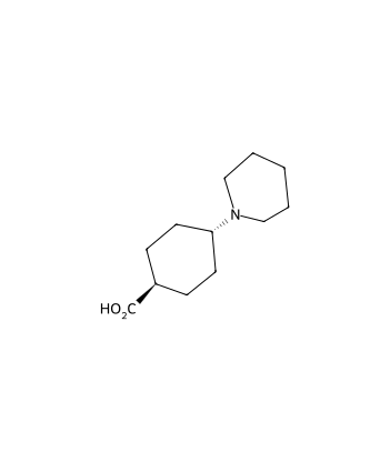 O=C(O)[C@H]1CC[C@H](N2CCCCC2)CC1